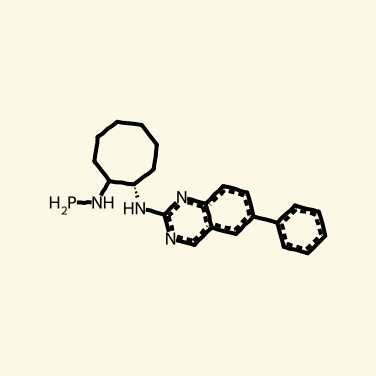 PNC1CCCCCC[C@@H]1Nc1ncc2cc(-c3ccccc3)ccc2n1